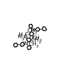 Cc1ccccc1N(c1ccc(-c2ccccc2)cc1)c1cc(C)c(-c2c(C)cc(N(c3ccc(-c4ccccc4)cc3)c3ccccc3C)cc2C)c(C)c1